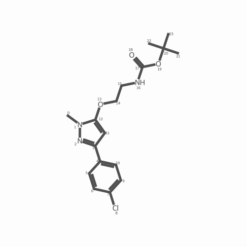 Cn1nc(-c2ccc(Cl)cc2)cc1OCCNC(=O)OC(C)(C)C